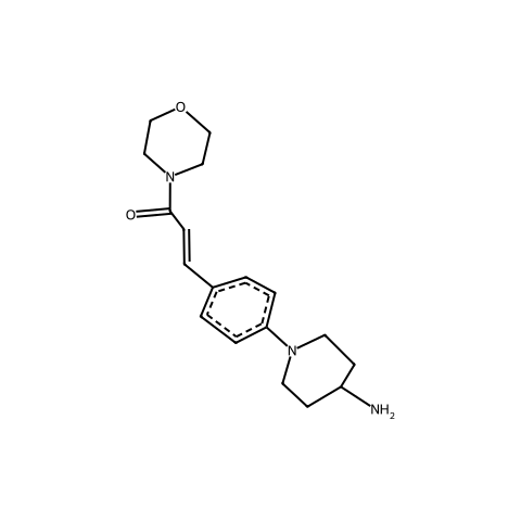 NC1CCN(c2ccc(C=CC(=O)N3CCOCC3)cc2)CC1